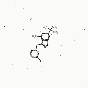 Cc1cc(C(C)(C)C)cc2cnn(Cc3cccc(F)c3)c12